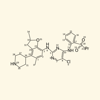 Cc1cc(Nc2ncc(Cl)c(Nc3ccccc3S(=O)(=O)C(C)C)n2)c2c(c1C1CCNCC1)CC(C)O2